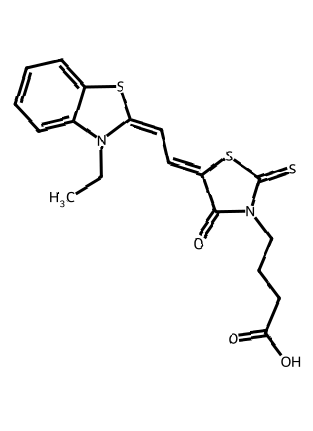 CCN1C(=CC=C2SC(=S)N(CCCC(=O)O)C2=O)Sc2ccccc21